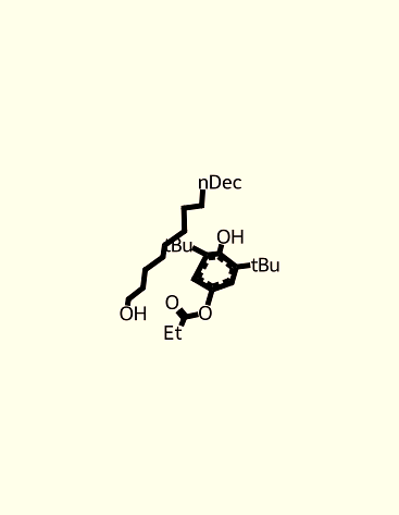 CCC(=O)Oc1cc(C(C)(C)C)c(O)c(C(C)(C)C)c1.CCCCCCCCCCCCCCCCCCO